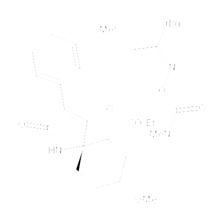 CCOC(=O)OC1=C(c2cc(C)ccc2C)C(=O)N[C@]12CC[C@@H](OC)CC2.CNC(=O)ON=C(CSC)C(C)(C)C